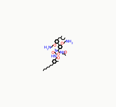 CCCCCCCc1ccc(C(=O)NCC(=O)N(C)C(C(=O)NCC(C)=O)c2ccc(OCCN)c(-c3cc(CC(C)CCC)ccc3OCCN)c2)c(C)c1